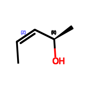 C/C=C\[C@@H](C)O